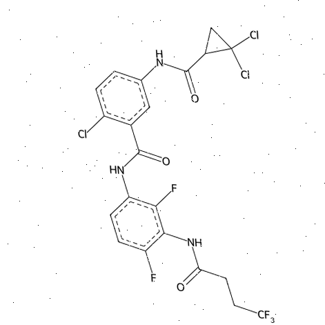 O=C(CCC(F)(F)F)Nc1c(F)ccc(NC(=O)c2cc(NC(=O)C3CC3(Cl)Cl)ccc2Cl)c1F